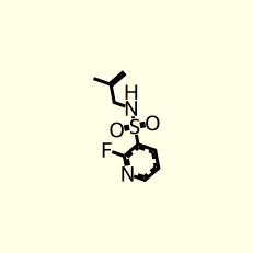 C=C(C)CNS(=O)(=O)c1cccnc1F